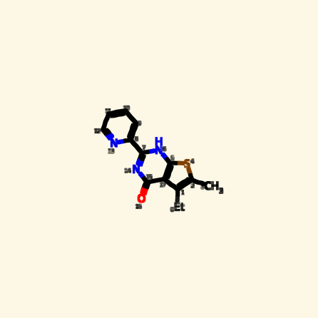 CCc1c(C)sc2[nH]c(-c3ccccn3)nc(=O)c12